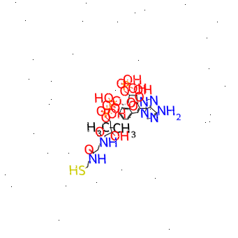 CC(C)(COP(=O)(O)OP(=O)(O)OC[C@H]1O[C@@H](N2CN=C3C(N)=NC=NC32c2cc3ccccc3oc2=O)[C@H](O)[C@@H]1OP(=O)(O)O)C(O)C(=O)NCCC(=O)NCCS